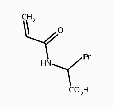 C=CC(=O)NC(C(=O)O)C(C)C